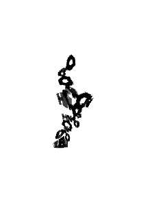 CC(C)(C)OC(=O)N1CCC(NC(=O)c2sc3nccc4c3c2NCN4c2ccc(Oc3ccccc3)cc2)CC1